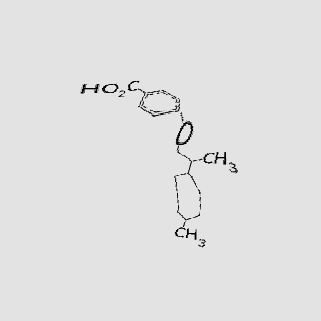 CC1CCC(C(C)COc2ccc(C(=O)O)cc2)CC1